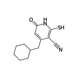 N#Cc1c(CC2CCCCC2)cc(=O)[nH]c1S